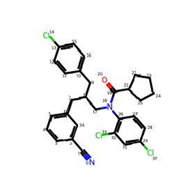 N#Cc1cccc(CC(Cc2ccc(Cl)cc2)CN(C(=O)C2CCCC2)c2ccc(Cl)cc2Cl)c1